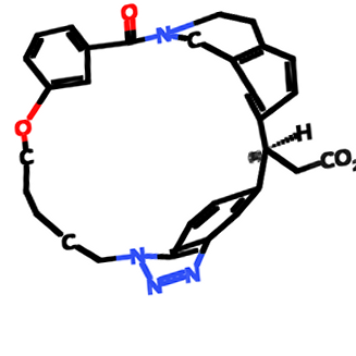 O=C(O)C[C@@H]1c2ccc3c(c2)CN(CC3)C(=O)c2cccc(c2)OCCCCCn2nnc3cc1ccc32